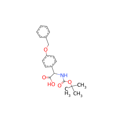 CC(C)(C)OC(=O)NC(C(=O)O)c1ccc(OCc2ccccc2)cc1